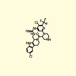 N=C(N)NCC1c2[nH]c3ccc(Cl)cc3c2CCN1C(=O)C1CNCCN1c1ccc(Cl)c(C(F)(F)F)n1